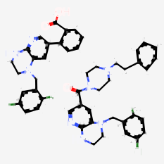 O=C(O)c1ccccc1-c1cnc2c(c1)N(Cc1cc(Cl)ccc1Cl)CCN2.O=C(c1cnc2c(c1)N(Cc1cc(Cl)ccc1Cl)CCN2)N1CCN(CCc2ccccc2)CC1